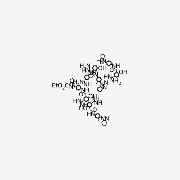 CCOC(=O)c1nn(-c2ccc(NC(=O)Cc3cc(C(=N)N)ccc3O)cc2C)c2c1CCC2.Cc1cc(N(Cc2cc(C(=N)N)ccc2O)C(=O)Cc2cc(C(=N)N)ccc2O)ccc1-n1c(N(C)C)nc2ccccc21.Cc1cc(NC(=O)Cc2cc(C(=N)N)ccc2O)ccc1-n1cnc2c1CCCC2.Cc1nn(-c2ccc(NC(=O)Cc3cc(C(=N)N)ccc3O)cc2)c2c1CCC2